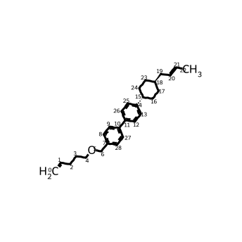 C=CCCCOCc1ccc(-c2ccc([C@H]3CC[C@H](C/C=C/C)CC3)cc2)cc1